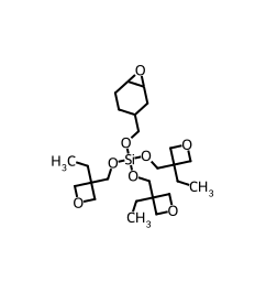 CCC1(CO[Si](OCC2CCC3OC3C2)(OCC2(CC)COC2)OCC2(CC)COC2)COC1